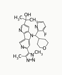 Cc1nnn(C)c1-c1cc2c(cn1)c1ncc(C(C)(C)O)cc1n2C(c1ncccc1F)C1CCOCC1